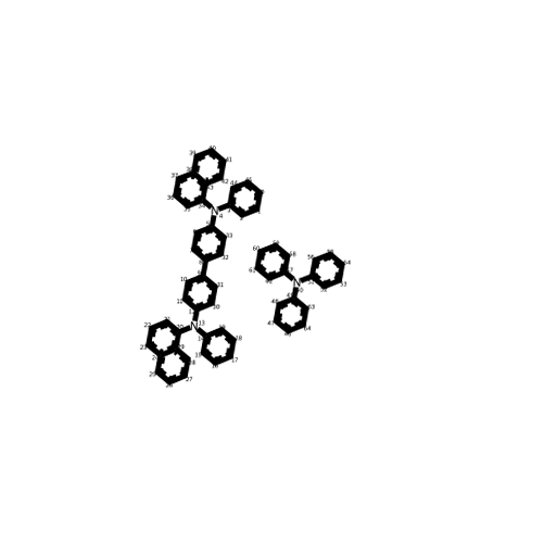 c1ccc(N(c2ccc(-c3ccc(N(c4ccccc4)c4cccc5ccccc45)cc3)cc2)c2cccc3ccccc23)cc1.c1ccc(N(c2ccccc2)c2ccccc2)cc1